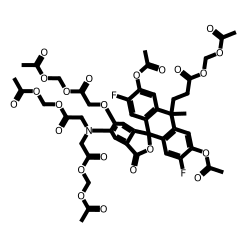 CC(=O)OCOC(=O)CCC1(C)c2cc(OC(C)=O)c(F)cc2C2(OC(=O)c3cc(N(CC(=O)OCOC(C)=O)CC(=O)OCOC(C)=O)c(OCC(=O)OCOC(C)=O)cc32)c2cc(F)c(OC(C)=O)cc21